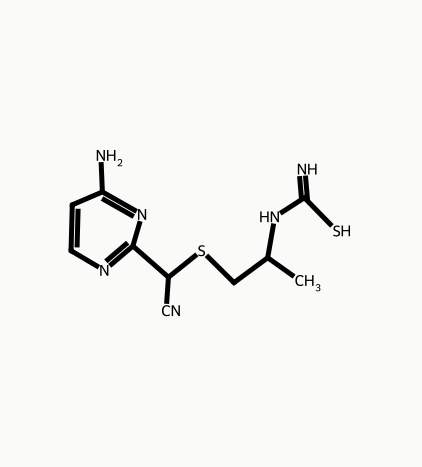 CC(CSC(C#N)c1nccc(N)n1)NC(=N)S